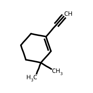 C#CC1=CC(C)(C)CCC1